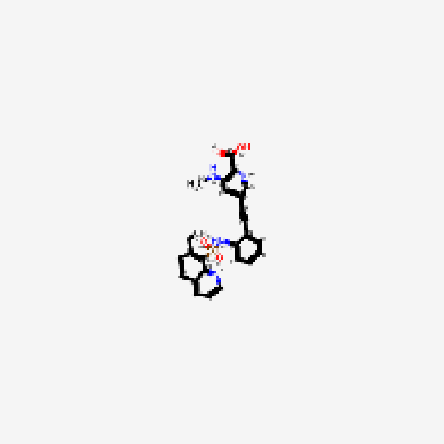 CCc1ccc2cccnc2c1S(=O)(=O)Nc1ccccc1C#Cc1cnc(C(=O)O)c(NC)c1